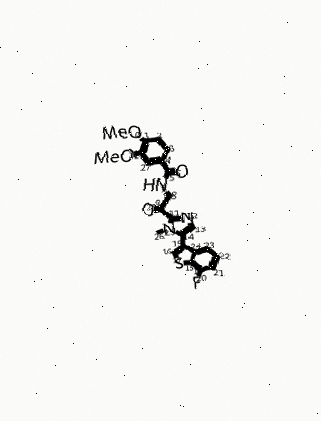 COc1ccc(C(=O)NCC(=O)c2ncc(-c3csc4c(F)cccc34)n2C)cc1OC